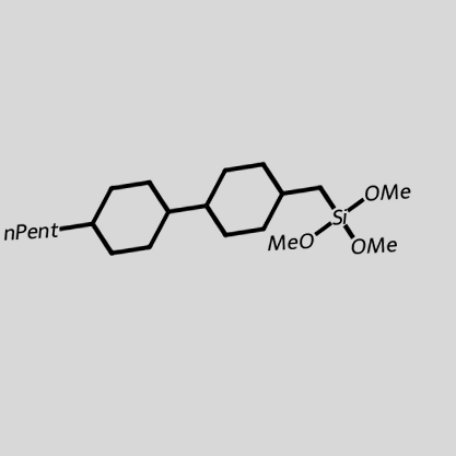 CCCCCC1CCC(C2CCC(C[Si](OC)(OC)OC)CC2)CC1